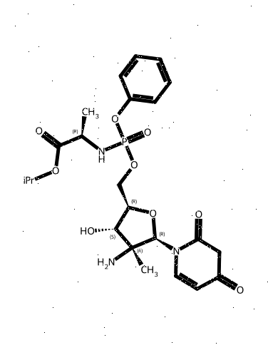 CC(C)OC(=O)[C@@H](C)NP(=O)(OC[C@H]1O[C@@H](N2C=CC(=O)CC2=O)[C@](C)(N)[C@@H]1O)Oc1ccccc1